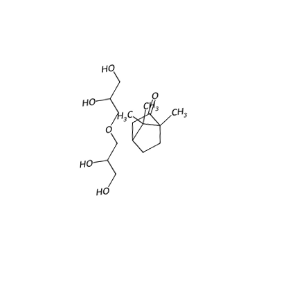 CC12CCC(CC1=O)C2(C)C.OCC(O)COCC(O)CO